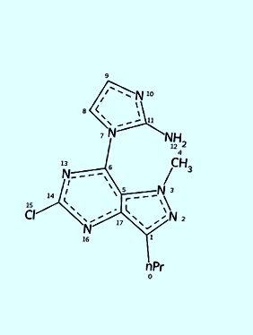 CCCc1nn(C)c2c(-n3ccnc3N)nc(Cl)nc12